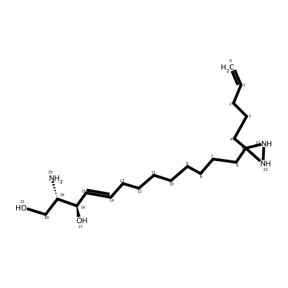 C=CCCCC1(CCCCCCCC/C=C/[C@@H](O)[C@@H](N)CO)NN1